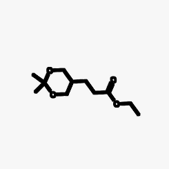 CCOC(=O)CCC1COC(C)(C)OC1